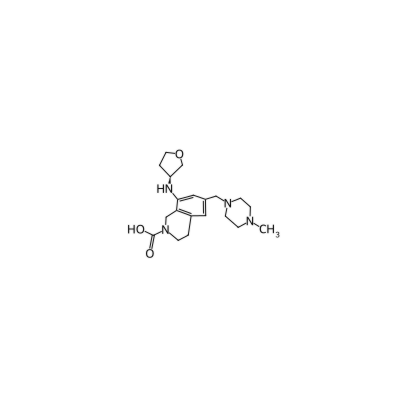 CN1CCN(Cc2cc3c(c(N[C@H]4CCOC4)c2)CN(C(=O)O)CC3)CC1